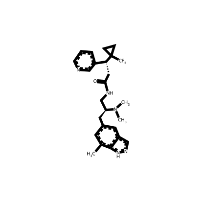 Cc1cc(C[C@@H](CNC(=O)C[C@H](c2cccnc2)C2(C(F)(F)F)CC2)N(C)C)cc2cn[nH]c12